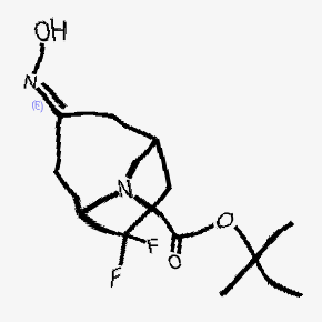 CC(C)(C)OC(=O)N1C2C/C(=N\O)CC1C(F)(F)C2